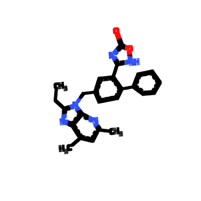 CCc1nc2c(C)cc(C)nc2n1Cc1ccc(-c2ccccc2)c(-c2nc(=O)o[nH]2)c1